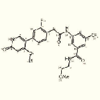 CCOc1cc(=O)[nH]cc1-c1ccc(CC(=O)Nc2cc(C(=O)NCCOC)cc(C(F)(F)F)c2)c(F)c1